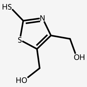 OCc1nc(S)sc1CO